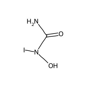 NC(=O)N(O)I